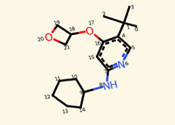 CC(C)(C)c1cnc(NC2CCCCC2)cc1OC1COC1